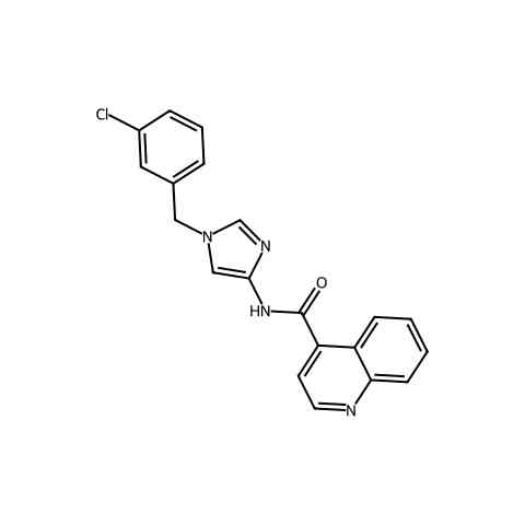 O=C(Nc1cn(Cc2cccc(Cl)c2)cn1)c1ccnc2ccccc12